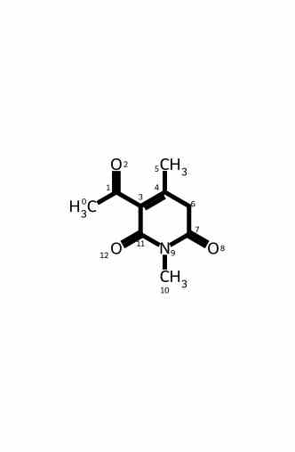 CC(=O)C1=C(C)CC(=O)N(C)C1=O